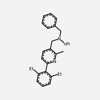 CCCN(Cc1ccccc1)Cc1ccc(-c2c(CC)cccc2CC)nc1C